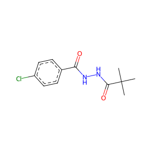 CC(C)(C)C(=O)NNC(=O)c1ccc(Cl)cc1